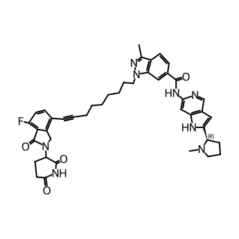 Cc1nn(CCCCCCCC#Cc2ccc(F)c3c2CN(C2CCC(=O)NC2=O)C3=O)c2cc(C(=O)Nc3cc4[nH]c([C@H]5CCCN5C)cc4cn3)ccc12